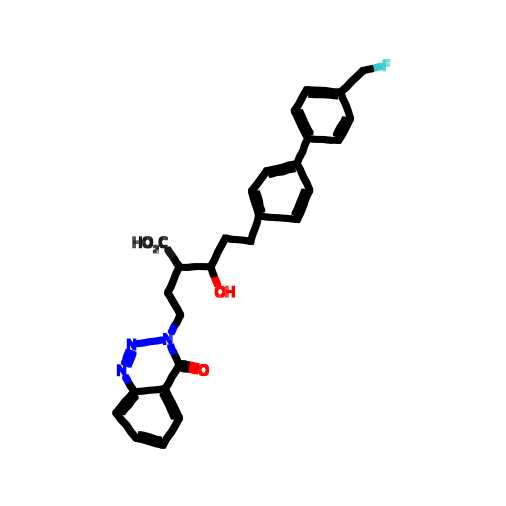 O=C(O)C(CCn1nnc2ccccc2c1=O)C(O)CCc1ccc(-c2ccc(CF)cc2)cc1